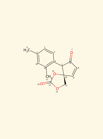 Cc1ccc(C2C(=O)C=C[C@@]23COC(=O)O3)c(C)c1